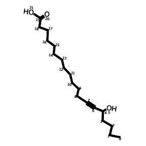 CCCCC(O)C#CCCCCCCCCCCCC(=O)O